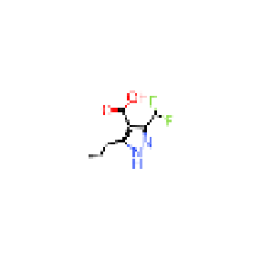 C=CCc1[nH]nc(C(F)F)c1C(=O)O